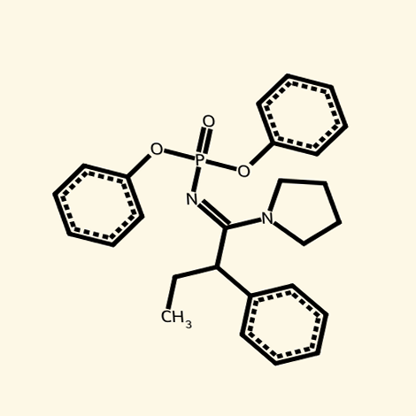 CCC(C(=NP(=O)(Oc1ccccc1)Oc1ccccc1)N1CCCC1)c1ccccc1